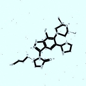 C[C@@H]1CN(c2c(C3OCCO3)cc3c(N4C(=O)OC[C@@H]4CCCF)noc3c2F)C[C@@H](C)O1